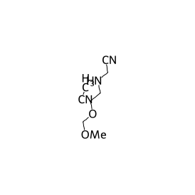 CC#N.COCOCCNCC#N